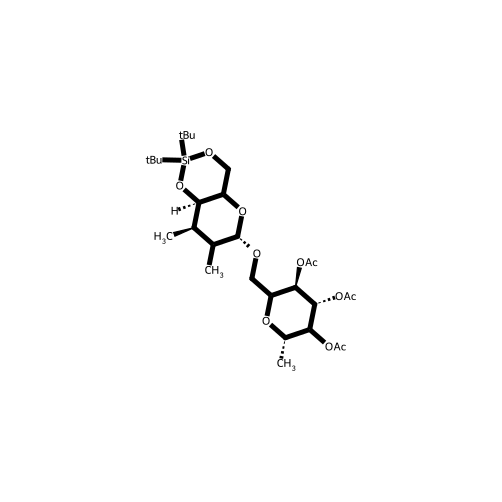 CC(=O)OC1[C@H](C)OC(CO[C@H]2OC3CO[Si](C(C)(C)C)(C(C)(C)C)O[C@@H]3[C@H](C)C2C)[C@@H](OC(C)=O)[C@@H]1OC(C)=O